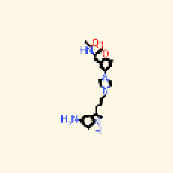 CC(=O)Nc1cc2cc(N3CCN(CCCCc4c[nH]c5ccc(N)cc45)CC3)ccc2oc1=O